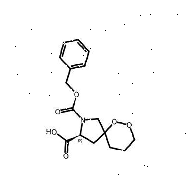 O=C(O)[C@@H]1CC2(CCCOO2)CN1C(=O)OCc1ccccc1